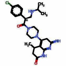 CC(C)NC[C@@H](C(=O)N1CCN(C2=C3C(=NC(=N)C2)NC(=O)CC3C)CC1)c1ccc(Cl)cc1